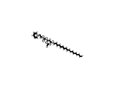 CCCCCCCCCCCCCCCCCCOCC[C@@H](OC(C)=O)OC(=O)OCC[n+]1ccccc1